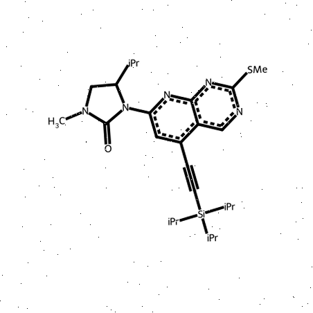 CSc1ncc2c(C#C[Si](C(C)C)(C(C)C)C(C)C)cc(N3C(=O)N(C)CC3C(C)C)nc2n1